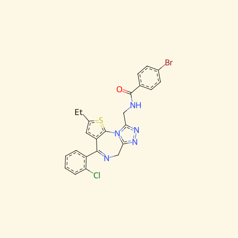 CCc1cc2c(s1)-n1c(nnc1CNC(=O)c1ccc(Br)cc1)CN=C2c1ccccc1Cl